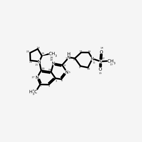 Cc1cc2cnc(NC3CCN(S(C)(=O)=O)CC3)nc2c(N2CCC[C@H]2C)n1